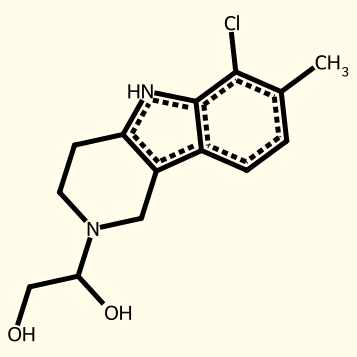 Cc1ccc2c3c([nH]c2c1Cl)CCN(C(O)CO)C3